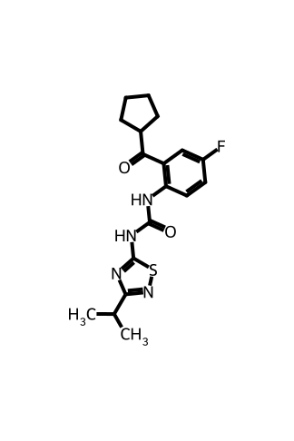 CC(C)c1nsc(NC(=O)Nc2ccc(F)cc2C(=O)C2CCCC2)n1